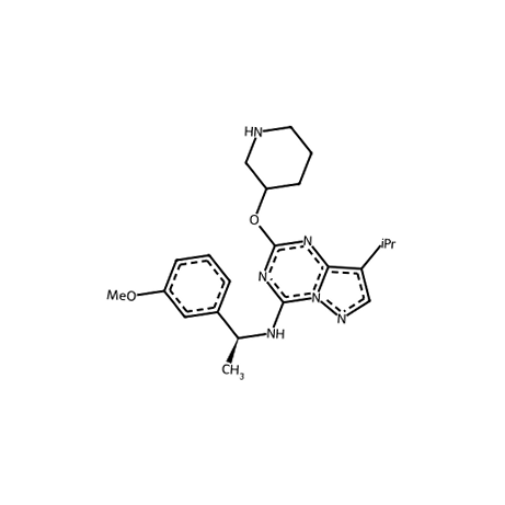 COc1cccc([C@H](C)Nc2nc(OC3CCCNC3)nc3c(C(C)C)cnn23)c1